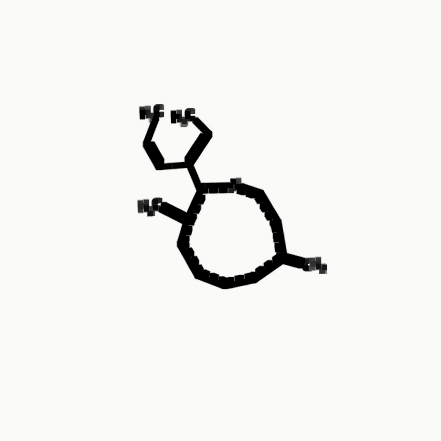 C=c1ccccc(=C)c(C(/C=C\C)=C/C)ncc1